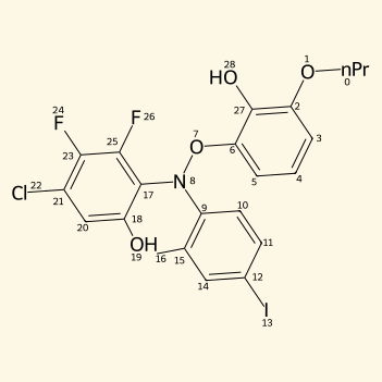 CCCOc1cccc(ON(c2ccc(I)cc2C)c2c(O)cc(Cl)c(F)c2F)c1O